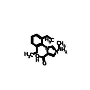 CCc1cccc(CC)c1-n1cncc1C(=O)O.CN